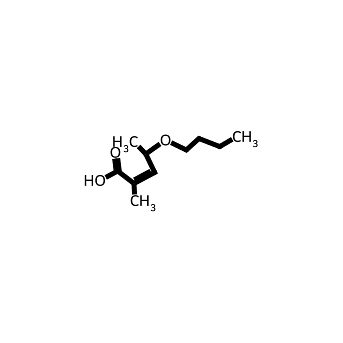 CCCCOC(C)C=C(C)C(=O)O